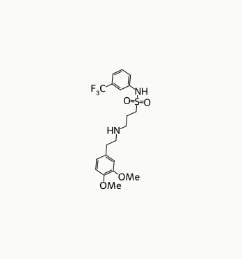 COc1ccc(CCNCCCS(=O)(=O)Nc2cccc(C(F)(F)F)c2)cc1OC